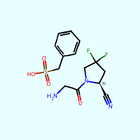 N#C[C@@H]1CC(F)(F)CN1C(=O)CN.O=S(=O)(O)Cc1ccccc1